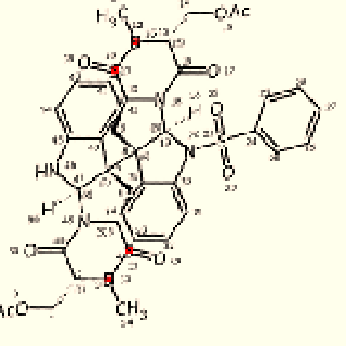 CC(=O)OC[C@]12SS[C@@]3(C[C@]4([C@]56C[C@@]78SS[C@@](COC(C)=O)(C(=O)N7[C@H]5N(S(=O)(=O)c5ccccc5)c5ccccc56)N(C)C8=O)c5ccccc5N[C@@H]4N3C1=O)C(=O)N2C